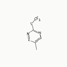 Cc1cnc(SC(F)(F)F)nc1